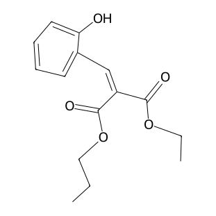 CCCOC(=O)C(=Cc1ccccc1O)C(=O)OCC